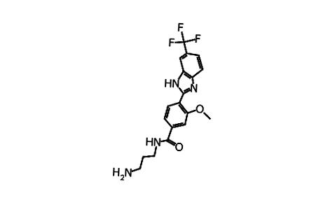 COc1cc(C(=O)NCCCN)ccc1-c1nc2ccc(C(F)(F)F)cc2[nH]1